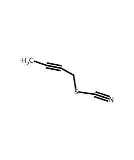 [CH2]C#CCSC#N